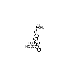 CN(C)CCOc1ccc2sc(N(C)C(=O)C3(CC(=O)O)Cc4ccccc4C3)nc2c1